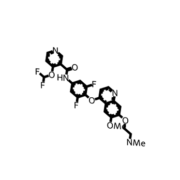 CNCCOc1cc2nccc(Oc3c(F)cc(NC(=O)c4cnccc4OC(F)F)cc3F)c2cc1OC